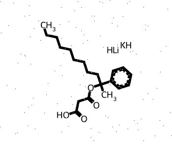 CCCCCCCCCC(C)(OC(=O)CC(=O)O)c1ccccc1.[KH].[LiH]